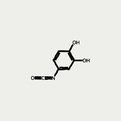 O=C=Nc1ccc(O)c(O)c1